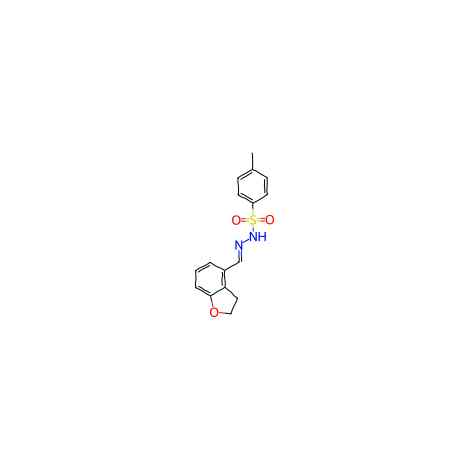 Cc1ccc(S(=O)(=O)NN=Cc2cccc3c2CCO3)cc1